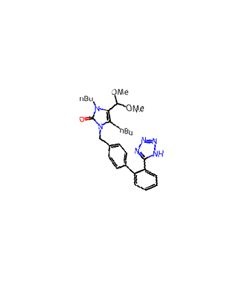 CCCCc1c(C(OC)OC)n(CCCC)c(=O)n1Cc1ccc(-c2ccccc2-c2nnn[nH]2)cc1